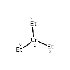 C[CH2][Cr]([CH2]C)[CH2]C